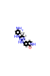 N[C@H]1CC[C@@H](Nc2nc(Nc3ccc4c(=O)[nH]ccc4c3)ncc2C(F)(F)F)CC1